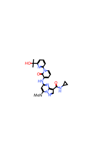 CNc1cc(Nc2cccn(-c3cccc(C(C)(C)O)n3)c2=O)nc2c(C(=O)NC3CC3)cnn12